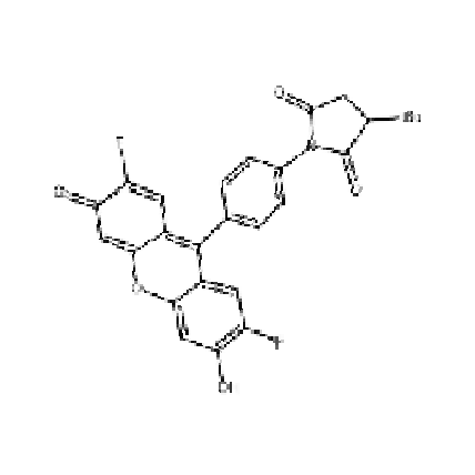 CC(C)(C)C1CC(=O)N(c2ccc(-c3c4cc(F)c(=O)cc-4oc4cc(O)c(F)cc34)cc2)C1=O